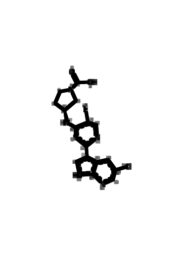 O=C(O)N1CC[C@H](Nc2nc(-c3c[nH]c4ncc(Cl)cc34)ncc2F)C1